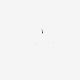 C[C@H](Oc1cc[c]cc1)N1CCCCCC1